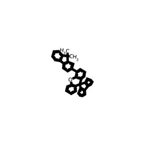 CC1(C)c2ccccc2-c2ccc(-c3cccc4c3Oc3ccccc3C43c4ccccc4-c4ccccc43)cc21